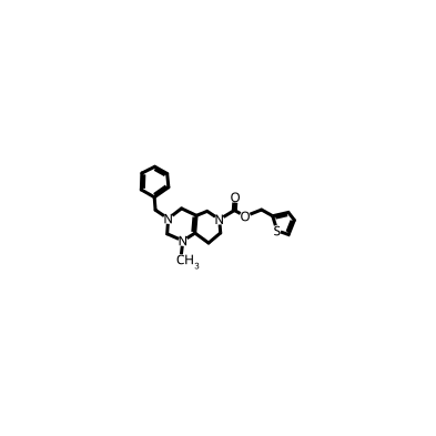 CN1CN(Cc2ccccc2)CC2=C1CCN(C(=O)OCc1cccs1)C2